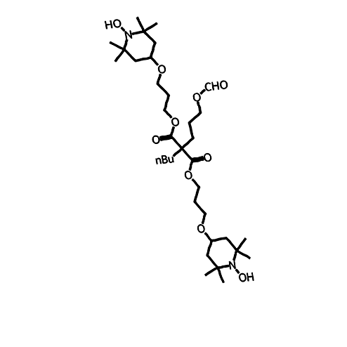 CCCCC(CCCOC=O)(C(=O)OCCCOC1CC(C)(C)N(O)C(C)(C)C1)C(=O)OCCCOC1CC(C)(C)N(O)C(C)(C)C1